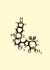 CCc1cc2c(cc1Nc1ncc(C(F)(F)F)c(-c3cc4c(s3)C(=O)N(C)CCS4(=O)=O)n1)CNC2